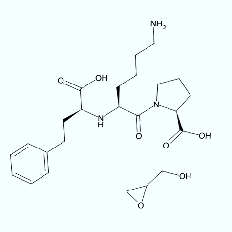 NCCCC[C@H](N[C@@H](CCc1ccccc1)C(=O)O)C(=O)N1CCC[C@H]1C(=O)O.OCC1CO1